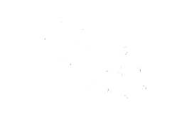 O=C(Oc1ccccc1)C1(S)N=NN=N1